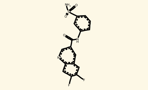 NS(=O)(=O)c1cccc(NC(=O)c2cnc3cc(F)c(F)cc3c2)c1